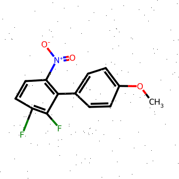 COc1ccc(-c2c([N+](=O)[O-])ccc(F)c2F)cc1